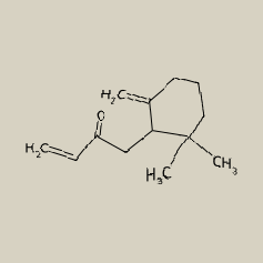 C=CC(=O)CC1C(=C)CCCC1(C)C